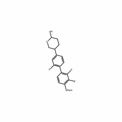 CCCCCc1ccc(-c2ccc(C3CCC(CCC)OC3)cc2F)c(F)c1F